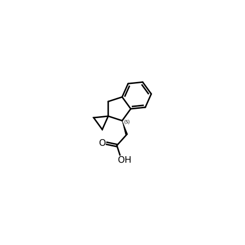 O=C(O)C[C@@H]1c2ccccc2CC12CC2